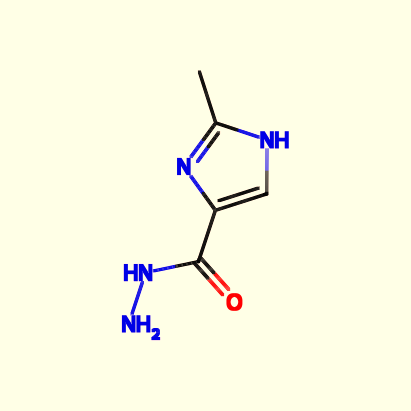 Cc1nc(C(=O)NN)c[nH]1